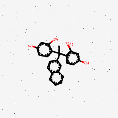 CC(c1ccc2ccccc2c1)(c1ccc(O)cc1O)c1ccc(O)cc1O